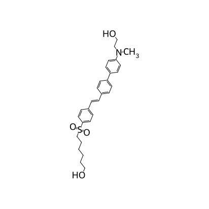 CN(CCO)c1ccc(-c2ccc(C=Cc3ccc(S(=O)(=O)CCCCCCO)cc3)cc2)cc1